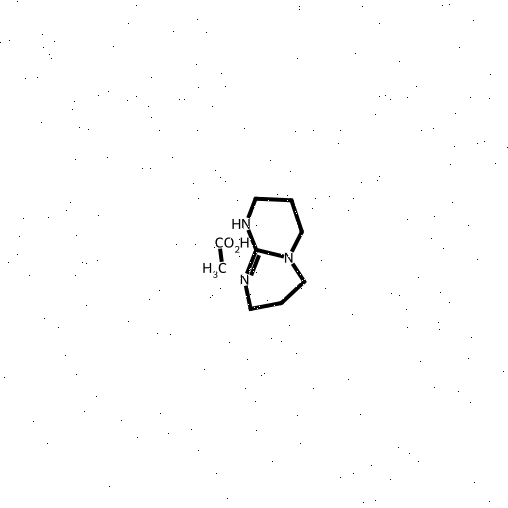 C1CN=C2NCCCN2C1.CC(=O)O